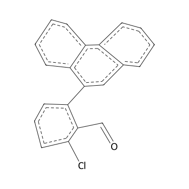 O=Cc1c(Cl)cccc1-c1cc2ccccc2c2ccccc12